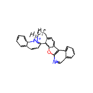 Cc1ccc2c(oc3ncc4ccccc4c32)c1-c1ccc2ccccc2[n+]1C